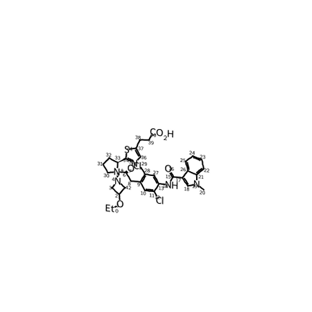 CCOC1CN([N+]2(C(=O)Cc3cc(Cl)c(NC(=O)c4cn(C)c5ccccc45)cc3Cl)CCC[C@H]2c2ncc(CCC(=O)O)s2)C1